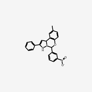 Cc1ccc2c(c1)C1C=C(c3ccccc3)NN1C(c1cccc([N+](=O)[O-])c1)O2